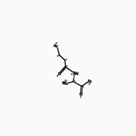 CCC(=O)C(NC(=O)CCC(C)=O)C(C)(C)C